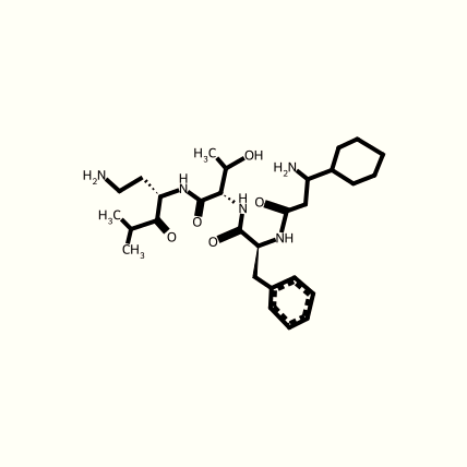 CC(C)C(=O)[C@H](CCN)NC(=O)[C@@H](NC(=O)[C@H](Cc1ccccc1)NC(=O)CC(N)C1CCCCC1)C(C)O